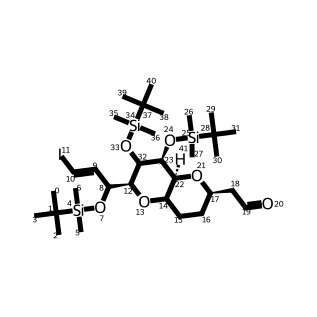 CC(C)(C)[Si](C)(C)OC(/C=C/I)[C@@H]1OC2CC[C@H](CC=O)O[C@@H]2[C@H](O[Si](C)(C)C(C)(C)C)C1O[Si](C)(C)C(C)(C)C